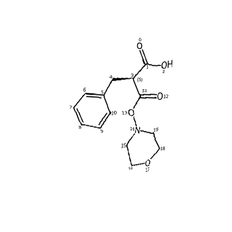 O=C(O)[C@H](Cc1ccccc1)C(=O)ON1CCOCC1